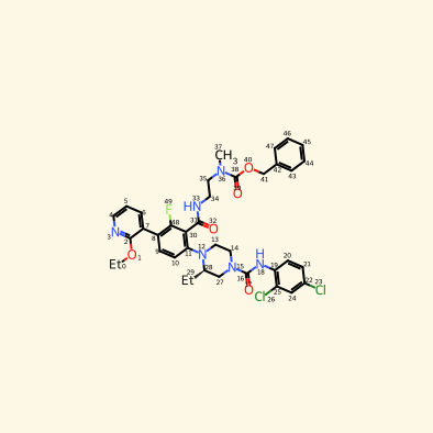 CCOc1ncccc1-c1ccc(N2CCN(C(=O)Nc3ccc(Cl)cc3Cl)C[C@H]2CC)c(C(=O)NCCN(C)C(=O)OCc2ccccc2)c1F